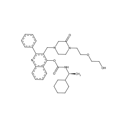 C[C@H](NC(=O)Oc1c(CN2CCN(CCOCCO)C(=O)C2)c(-c2ccccc2)nc2ccccc12)C1CCCCC1